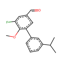 COc1c(F)cc([C]=O)cc1-c1cccc(C(C)C)c1